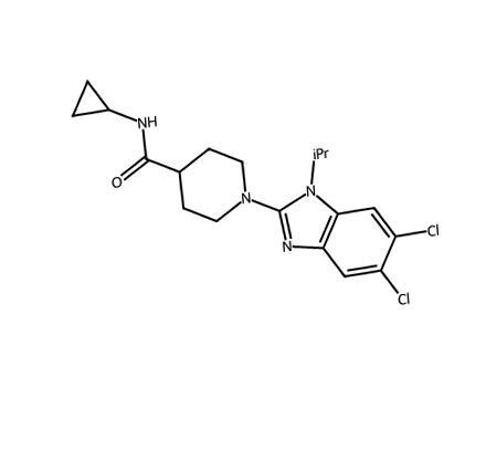 CC(C)n1c(N2CCC(C(=O)NC3CC3)CC2)nc2cc(Cl)c(Cl)cc21